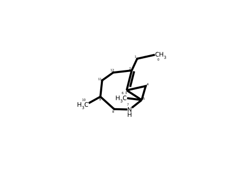 CC/C1=C2/CC2(C)NCC(C)CC1